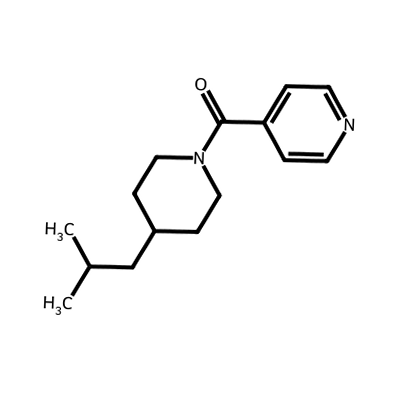 CC(C)CC1CCN(C(=O)c2ccncc2)CC1